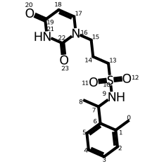 Cc1ccccc1C(C)NS(=O)(=O)CCCn1ccc(=O)[nH]c1=O